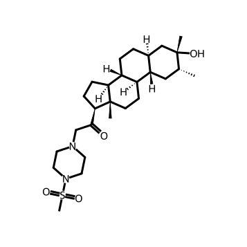 C[C@@H]1C[C@H]2[C@@H](CC[C@@H]3[C@@H]2CC[C@]2(C)[C@@H](C(=O)CN4CCN(S(C)(=O)=O)CC4)CC[C@@H]32)C[C@]1(C)O